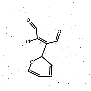 O=[C]/C(Cl)=C(\[C]=O)C1C=CC=CO1